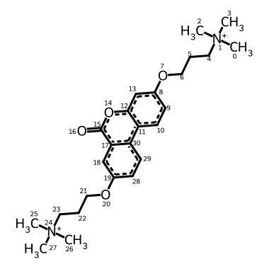 C[N+](C)(C)CCCOc1ccc2c(c1)oc(=O)c1cc(OCCC[N+](C)(C)C)ccc12